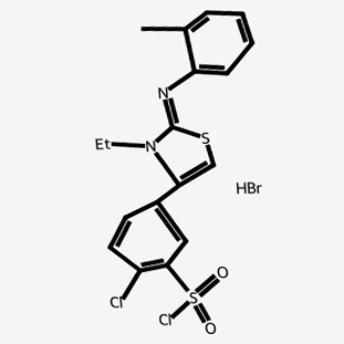 Br.CCn1c(-c2ccc(Cl)c(S(=O)(=O)Cl)c2)csc1=Nc1ccccc1C